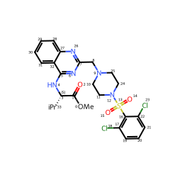 COC(=O)[C@@H](Nc1nc(CN2CCN(S(=O)(=O)c3c(Cl)cccc3Cl)CC2)nc2ccccc12)C(C)C